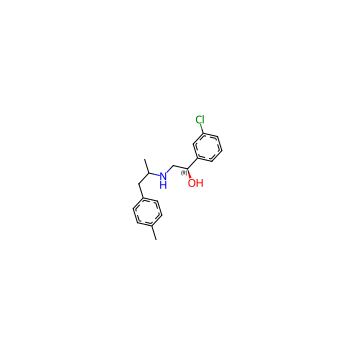 Cc1ccc(CC(C)NC[C@H](O)c2cccc(Cl)c2)cc1